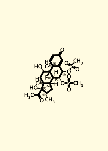 CC(=O)[C@@]1(O)[C@@H](C)C[C@H]2[C@@H]3[C@@H](OS(C)(=O)=O)[C@@H](OS(C)(=O)=O)C4=CC(=O)C=C[C@]4(C)[C@@]3(F)[C@@H](O)C[C@@]21C